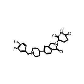 O=C1CCC(N2Cc3cc(C4CCN(Cc5ccc(Cl)c(F)c5)CC4)ccc3C2=O)C(=O)N1